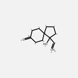 C=CC1(O)CCCC12CCC(=O)CC2